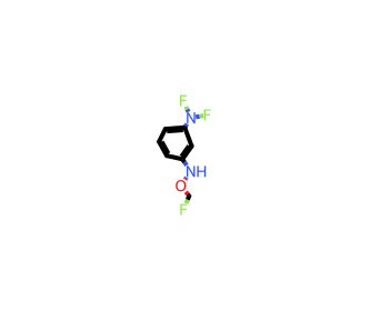 FCONc1cccc(N(F)F)c1